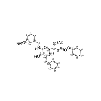 COc1cccc(CNC[C@@H](O)[C@H](Cc2ccccc2)NC(=O)C(CSOOc2ccccc2)NC(C)=O)c1